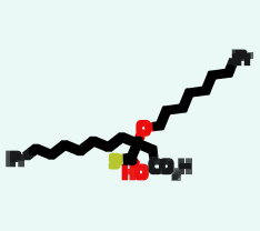 CC(C)CCCCCCCOC(CCCCCCCC(C)C)(CC(=O)O)C(O)=S